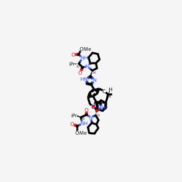 COC(=O)N[C@H](C(=O)N1C2CCCCC2C[C@H]1c1nc(-c2cc3c(-c4c[nH]c([C@@H]5CC6CCCCC6N5C(=O)[C@@H](NC(=O)OC)C(C)C)n4)cc2CCc2ccc(cc2)[C@H](C)C3)c[nH]1)C(C)C